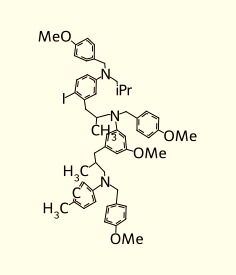 COc1ccc(CN(CC(C)C)c2ccc(I)c(CC(C)CN(Cc3ccc(OC)cc3)c3cc(CC(C)CN(Cc4ccc(OC)cc4)c4ccc(C)cc4)cc(OC)c3)c2)cc1